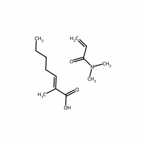 C=CC(=O)N(C)C.CCCC/C=C(\C)C(=O)O